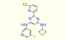 Fc1cncc(Nc2cc(NC3CCC3)nc(-c3cccc(Cl)n3)n2)c1